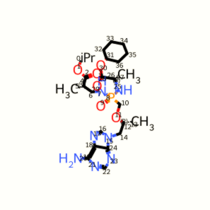 CC(C)OC(=O)[C@@H](C)CNP(=O)(CO[C@H](C)Cn1cnc2c(N)ncnc21)N[C@@H](C)C(=O)OC1CCCCC1